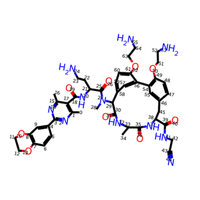 Cc1nc(-c2ccc3c(c2)OCCO3)nc(C)c1C(=O)NC(CCN)C(=O)N(C)C1C(=O)NC(C)C(=O)NC(C(=O)NCC#N)Cc2ccc(OCCN)c(c2)-c2cc1ccc2OCCN